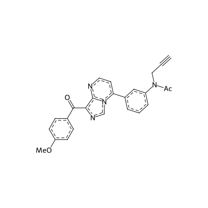 C#CCN(C(C)=O)c1cccc(-c2ccnc3c(C(=O)c4ccc(OC)cc4)ncn23)c1